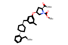 CNCc1ccccc1[C@H]1CC[C@H](Cc2cc(C)cc(O[C@H]3C[C@@H](C(=O)OC)N(C(=O)OC(C)(C)C)C3)c2)CC1